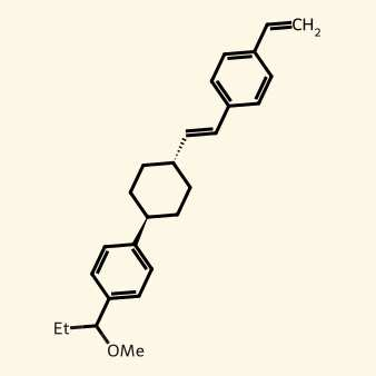 C=Cc1ccc(C=C[C@H]2CC[C@H](c3ccc(C(CC)OC)cc3)CC2)cc1